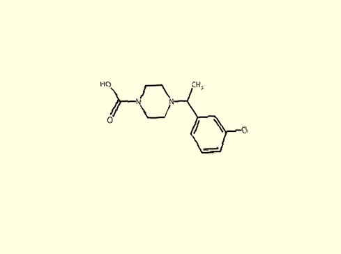 CC(c1cccc(Cl)c1)N1CCN(C(=O)O)CC1